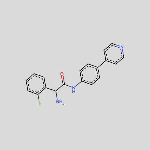 NC(C(=O)Nc1ccc(-c2ccncc2)cc1)c1ccccc1F